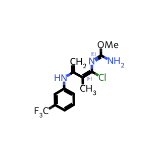 C=C(Nc1cccc(C(F)(F)F)c1)/C(C)=C(Cl)\N=C(/N)OC